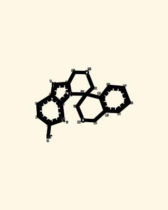 Brc1ccc2nc3n(c2n1)C1(COCc2ccccc21)COC3